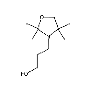 CC1(C)COC(C)(C)N1CCCO